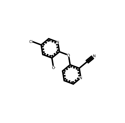 N#Cc1ncccc1Oc1ncc(Cl)cc1[O]